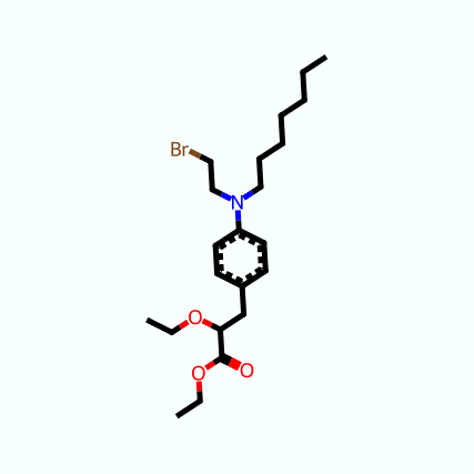 CCCCCCCN(CCBr)c1ccc(CC(OCC)C(=O)OCC)cc1